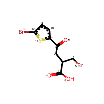 O=C(CC(CBr)C(=O)O)c1ccc(Br)s1